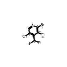 FC(F)c1c(Cl)cnc(Br)c1Cl